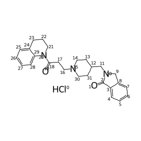 Cl.O=C1c2ccccc2CN1CC1CCN(CCC(=O)N2CCCc3ccccc32)CC1